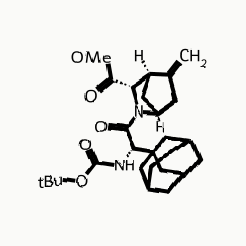 C=C1C[C@@H]2C[C@H]1[C@@H](C(=O)OC)N2C(=O)[C@@H](NC(=O)OC(C)(C)C)C12CC3CC(CC(C3)C1)C2